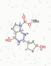 CC(C)(C)OC(=O)n1ccc2c(O)nc(C3=CC(O)CC3)nc21